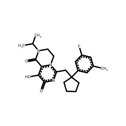 Cc1cc(F)cc(C2(Cc3nc(=O)c(O)c4n3CCN(C(C)C)C4=O)CCCC2)c1